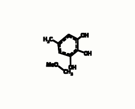 COC.Cc1cc(O)c(O)c(O)c1